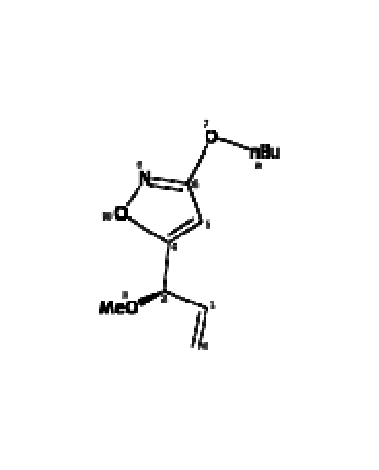 C=C[C@@H](OC)c1cc(OCCCC)no1